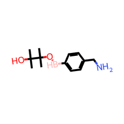 CC(C)(O)C(C)(C)OBc1ccc(CN)cc1